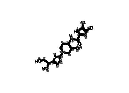 CCc1[nH]c(C(=O)NC2CCN(c3nnc(C(O)CO)s3)CC2O)nc1Cl